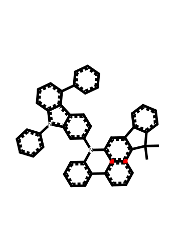 CC1(C)c2ccccc2-c2cc(N(c3ccc4c5c(-c6ccccc6)cccc5n(-c5ccccc5)c4c3)c3ccccc3-c3ccccc3)ccc21